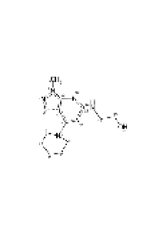 Cn1ncc2c(N3CCCCC3)nc(NCCO)nc21